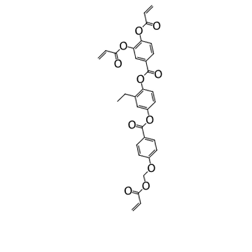 C=CC(=O)OCOc1ccc(C(=O)Oc2ccc(OC(=O)c3ccc(OC(=O)C=C)c(OC(=O)C=C)c3)c(CC)c2)cc1